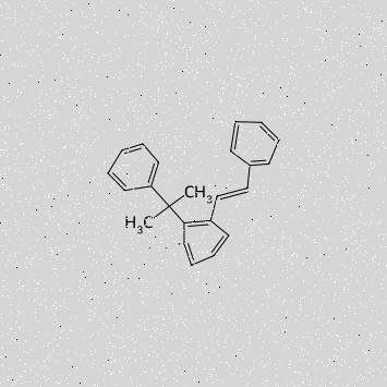 CC(C)(c1ccccc1)c1[c]cccc1C=Cc1ccccc1